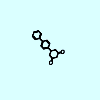 O=C1CC(=O)CC(c2ccc(-c3ccccc3)cc2)C1